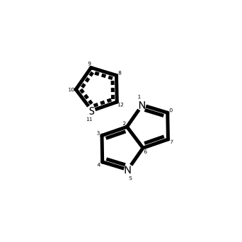 C1=NC2=CC=NC2=C1.c1ccsc1